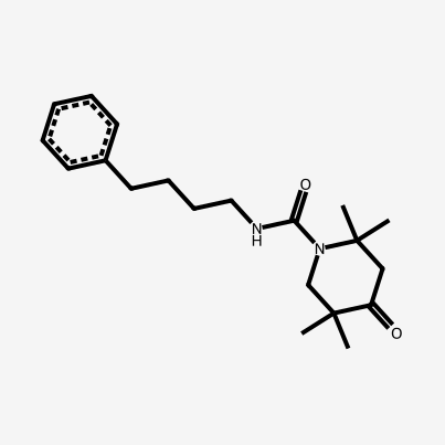 CC1(C)CN(C(=O)NCCCCc2ccccc2)C(C)(C)CC1=O